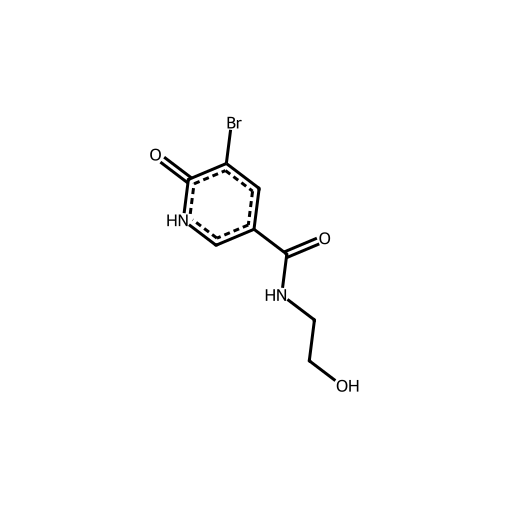 O=C(NCCO)c1c[nH]c(=O)c(Br)c1